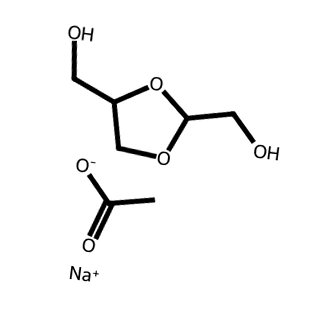 CC(=O)[O-].OCC1COC(CO)O1.[Na+]